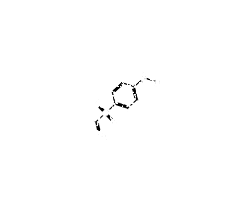 C=CS(=O)(=O)c1ccc(NCC)cc1